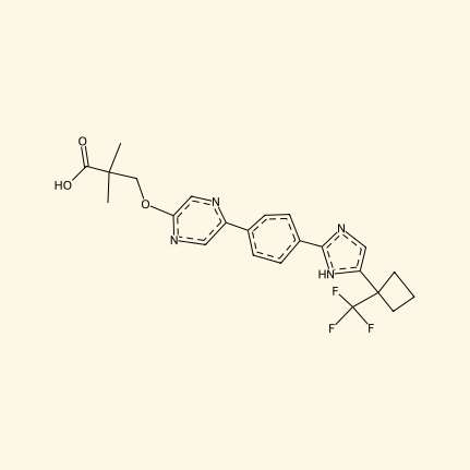 CC(C)(COc1cnc(-c2ccc(-c3ncc(C4(C(F)(F)F)CCC4)[nH]3)cc2)cn1)C(=O)O